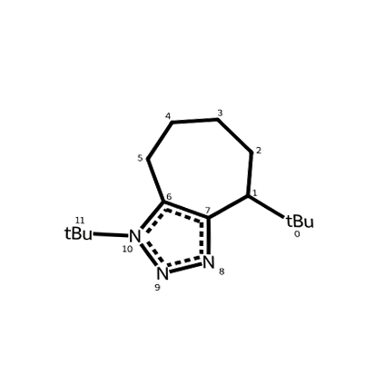 CC(C)(C)C1CCCCc2c1nnn2C(C)(C)C